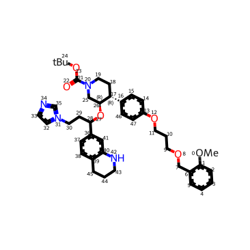 COc1ccccc1COCCCOc1ccc([C@H]2CCN(C(=O)OC(C)(C)C)C[C@@H]2OC(CCn2ccnc2)c2ccc3c(c2)NCCC3)cc1